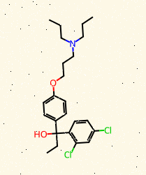 CCCN(CCC)CCCOc1ccc(C(O)(CC)c2ccc(Cl)cc2Cl)cc1